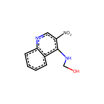 O=[N+]([O-])c1cnc2ccccc2c1NCO